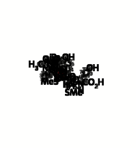 CSCC[C@H](NC(=O)[C@H](CC(C)C)NC(=O)[C@H](Cc1ccc(O)cc1)NC(=O)[C@H](CCSC)NC(=O)[C@H](Cc1ccccc1)NC(=O)[C@H](CS)NC(=O)[C@H](CC(C)C)NC(=O)[C@@H](NC(=O)[C@H](C)N)C(C)C)C(=O)N[C@@H](Cc1ccc(O)cc1)C(=O)O